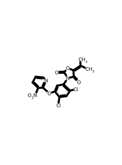 CC(C)=C1OC(=O)N(c2cc(Oc3ncccc3[N+](=O)[O-])c(Cl)cc2Cl)C1=O